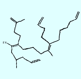 C=CCCCCC(CCC=C)=C(C)CCCC(CCC(=C)C)=C(CC)CC(C)CC=C